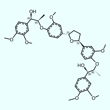 COc1ccc([C@@H](O)[C@@H](C)Oc2ccc([C@@H]3CC[C@@H](c4ccc(O[C@H](C)[C@H](O)c5ccc(OC)c(OC)c5)c(OC)c4)O3)cc2OC)cc1OC